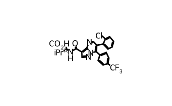 CC(C)[C@H](NC(=O)c1cnn2c(-c3ccc(C(F)(F)F)cc3)c(-c3ccccc3Cl)cnc12)C(=O)O